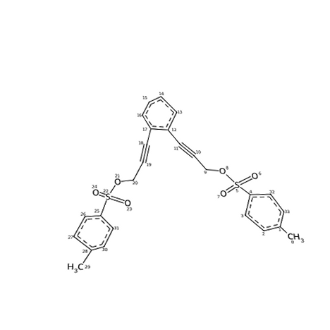 Cc1ccc(S(=O)(=O)OCC#Cc2ccccc2C#CCOS(=O)(=O)c2ccc(C)cc2)cc1